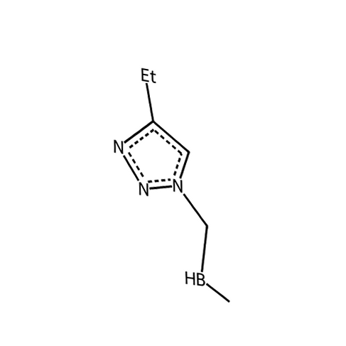 CBCn1cc(CC)nn1